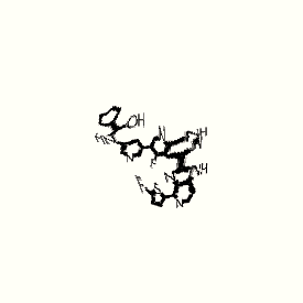 OC(Nc1cncc(-c2cnc3[nH]nc(-c4nc5c(-c6ccc(F)s6)nccc5[nH]4)c3c2F)c1)C1CCCC1